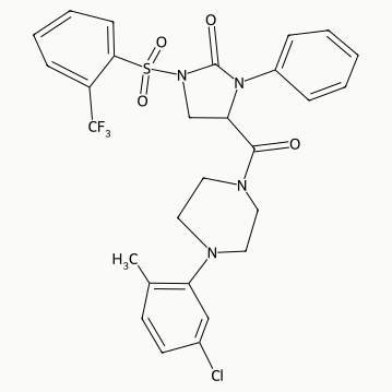 Cc1ccc(Cl)cc1N1CCN(C(=O)C2CN(S(=O)(=O)c3ccccc3C(F)(F)F)C(=O)N2c2ccccc2)CC1